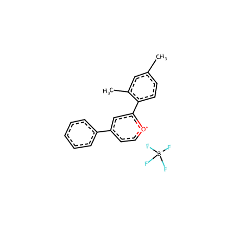 Cc1ccc(-c2cc(-c3ccccc3)cc[o+]2)c(C)c1.F[B-](F)(F)F